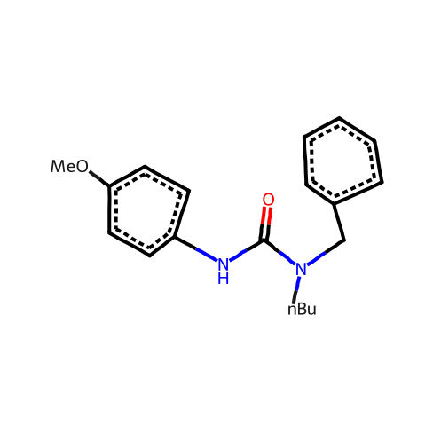 CCCCN(Cc1ccccc1)C(=O)Nc1ccc(OC)cc1